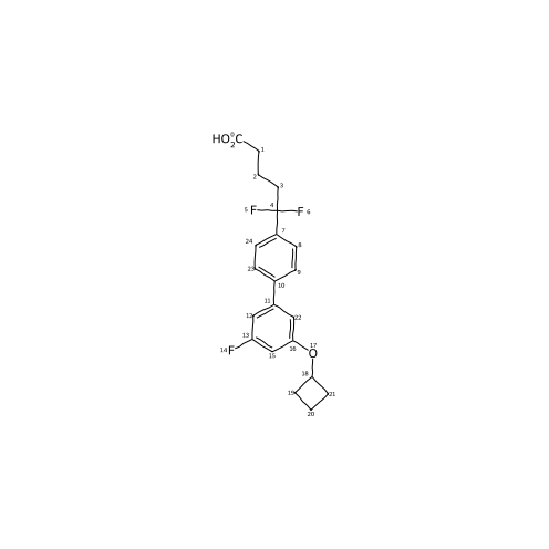 O=C(O)CCCC(F)(F)c1ccc(-c2cc(F)cc(OC3CCC3)c2)cc1